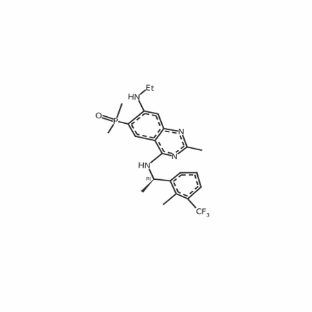 CCNc1cc2nc(C)nc(N[C@H](C)c3cccc(C(F)(F)F)c3C)c2cc1P(C)(C)=O